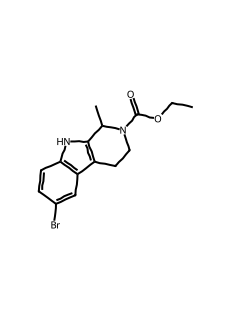 CCOC(=O)N1CCc2c([nH]c3ccc(Br)cc23)C1C